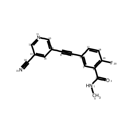 CNC(=O)c1cc(C#Cc2cncc(C#N)c2)ccc1F